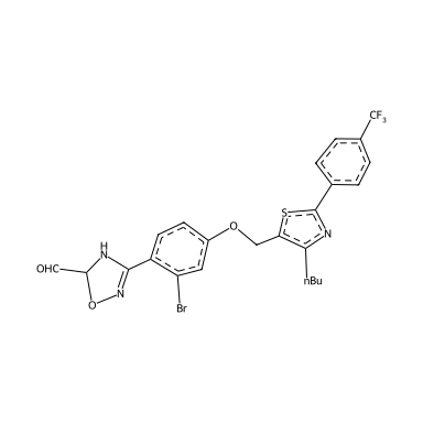 CCCCc1nc(-c2ccc(C(F)(F)F)cc2)sc1COc1ccc(C2=NOC(C=O)N2)c(Br)c1